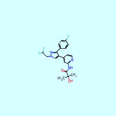 CC(C)(O)C(=O)Nc1cc(-c2cn(CC(F)F)nc2-c2ccc(F)cc2)ccn1